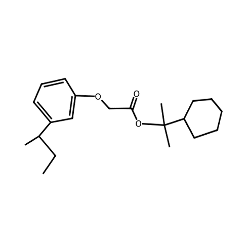 CCC(C)c1cccc(OCC(=O)OC(C)(C)C2CCCCC2)c1